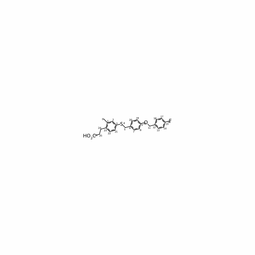 Cc1cc(SCc2ccc(OCc3ccc(F)cc3)cc2)ccc1CCC(=O)O